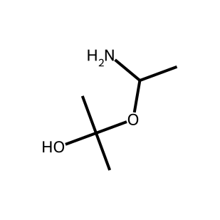 CC(N)OC(C)(C)O